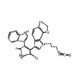 O=C1NC(=O)C(c2cn(CCCN=C=S)c3c4c(ccc23)OCO4)=C1c1c[nH]c2ccccc12